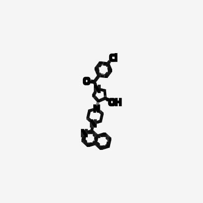 O=C(c1ccc(Cl)cc1)N1C[C@@H](O)[C@H](N2CCN(c3nccc4ccccc34)CC2)C1